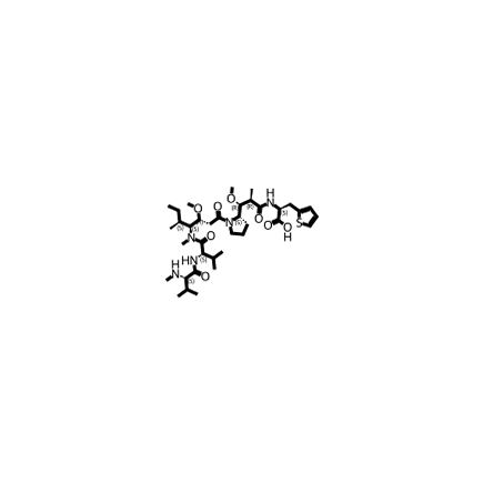 CC[C@H](C)[C@@H]([C@@H](CC(=O)N1CCC[C@H]1[C@H](OC)[C@@H](C)C(=O)N[C@@H](Cc1cccs1)C(=O)O)OC)N(C)C(=O)[C@@H](NC(=O)[C@@H](NC)C(C)C)C(C)C